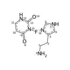 NCCc1c[nH]cn1.O=c1cc[nH]c(=O)n1F